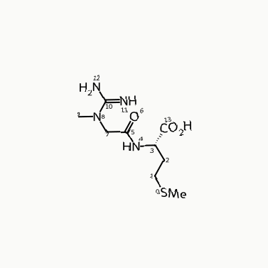 CSCC[C@H](NC(=O)CN(C)C(=N)N)C(=O)O